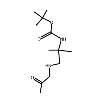 CC(=O)CNCC(C)(C)NC(=O)OC(C)(C)C